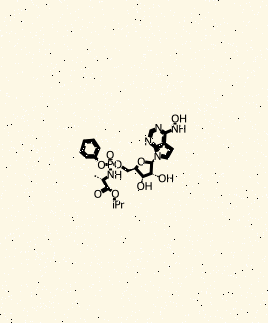 CC(C)OC(=O)[C@H](C)NP(=O)(OC[C@H]1O[C@@H](n2ccc3c(NO)ncnc32)[C@H](O)[C@@H]1O)Oc1ccccc1